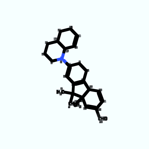 CC1(C)C2=C(CCC(N3CCCC4CCC=CC43)=C2)C2C=CC(C=O)=CC21C